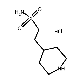 Cl.NS(=O)(=O)CCC1CCNCC1